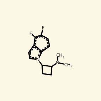 CN(C)C1CCC1n1ccc2c(F)c(F)ccc21